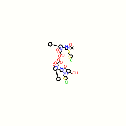 CC(C)(C)C(=O)n1nc(-c2ccc(C#Cc3ccccc3)c(=O)n2CC(=O)C(=O)OCOC(=O)C(=O)Cn2c(-c3cc(NCc4ccc(Cl)s4)n(C(=O)c4ccc(CO)cc4)n3)c(C#Cc3ccccc3)ccc2=O)cc1SCc1ccc(Cl)s1